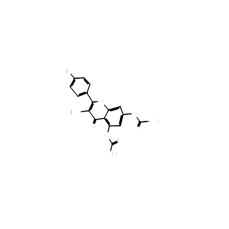 CC(=O)Oc1cc(OC(C)=O)c2c(=O)c(C)c(-c3ccc(F)cc3)oc2c1